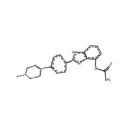 CC(C)N1CCN(c2ccc(-c3nc4c(OC(N)=O)cccc4[nH]3)cc2)CC1